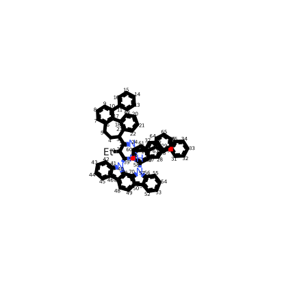 CCC1C(C2CCc3cccc(-c4ccccc4)c3-c3ccccc32)=NC(c2ccc(-c3ccccc3)cc2)NC1n1c2ccccc2c2ccc3c4ccccc4n(-c4cccc(-c5ccccc5)c4)c3c21